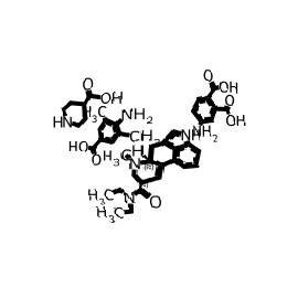 CCN(CC)C(=O)[C@@H]1C=C2c3cccc4[nH]cc(c34)C[C@H]2N(C)C1.Cc1cc(C(=O)O)cc(C)c1N.Nc1ccc(C(=O)O)c(C(=O)O)c1.O=C(O)C1CCNCC1